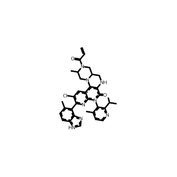 C=CC(=O)N1CC2CNc3c(c4cc(Cl)c(-c5c(C)ccc6[nH]cnc56)nc4n(-c4c(C)ccnc4C(C)C)c3=O)N2CC1C